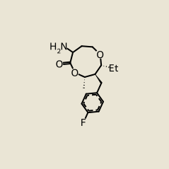 CC[C@H]1OCCC(N)C(=O)O[C@@H](C)[C@@H]1Cc1ccc(F)cc1